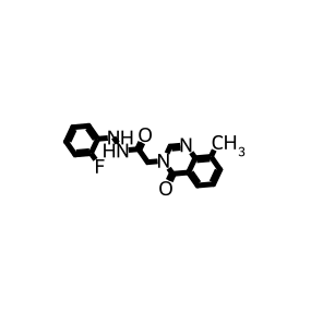 Cc1cccc2c(=O)n(CC(=O)NNc3ccccc3F)cnc12